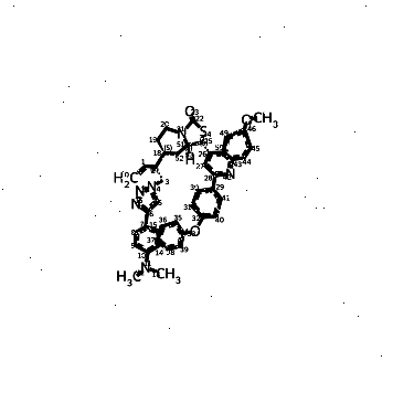 C=C[C@@H](Cn1cc(-c2ccc(N(C)C)cc2)nn1)[C@H]1CCN2C(=O)S[C@H](c3cc(-c4ccc(Oc5ccccc5)cc4)nc4ccc(OC)cc34)[C@@H]2C1